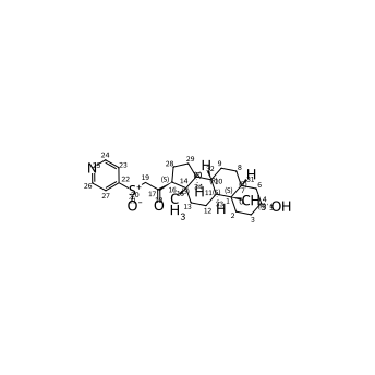 C[C@]12CC[C@@H](O)C[C@H]1CC[C@@H]1[C@@H]2CC[C@]2(C)[C@@H](C(=O)C[S+]([O-])c3ccncc3)CC[C@@H]12